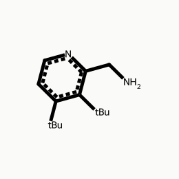 CC(C)(C)c1ccnc(CN)c1C(C)(C)C